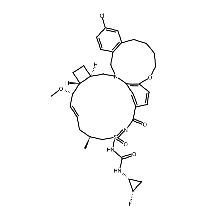 CO[C@H]1/C=C/C[C@H](C)CS(=O)(NC(=O)N[C@@H]2C[C@@H]2F)=NC(=O)c2ccc3c(c2)N(Cc2ccc(Cl)cc2CCCCO3)C[C@@H]2CC[C@H]21